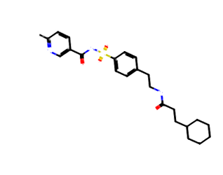 O=C(CCC1CCCCC1)NCCc1ccc(S(=O)(=O)NC(=O)c2ccc(C(=O)O)nc2)cc1